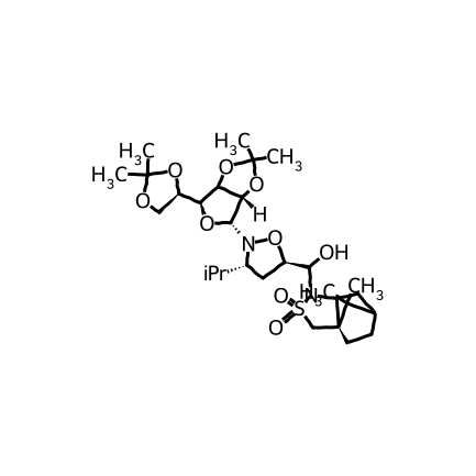 CC(C)[C@H]1C[C@H](C(O)N2C3CC4CC[C@]3(CS2(=O)=O)C4(C)C)ON1[C@@H]1O[C@@H]([C@H]2COC(C)(C)O2)C2OC(C)(C)O[C@@H]21